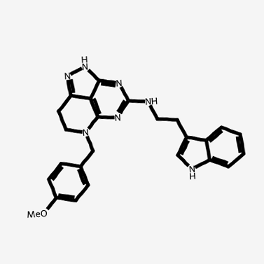 COc1ccc(CN2CCc3n[nH]c4nc(NCCc5c[nH]c6ccccc56)nc2c34)cc1